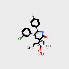 CCOC[C@@H](CC=O)[C@]1(CC(=O)O)C[C@H](c2cccc(Cl)c2)[C@@H](c2ccc(Cl)cc2)NC1=O